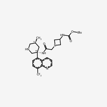 C[C@@H]1CNC[C@](NC(=O)CN2CC(NC(=O)OC(C)(C)C)C2)(c2ccc(C(F)(F)F)c3ncccc23)C1